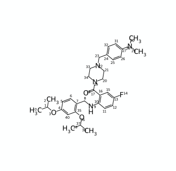 CC(C)Oc1ccc(CNc2ccc(F)cc2C(=O)N2CCN(Cc3ccc(N(C)C)cc3)CC2)c(OC(C)C)c1